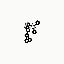 c1ccc(C2N=C(c3ccnc4oc5cc(-c6ccc7c(c6)-c6cccc8cccc-7c68)ccc5c34)NC(c3ccccc3)N2)cc1